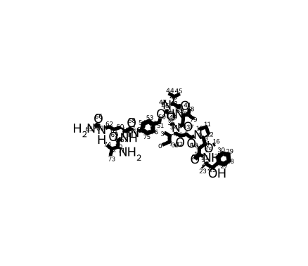 CCC(C)[C@@H](C(CC(=O)N1CCC[C@H]1[C@H](OC)[C@@H](C)C(=O)N[C@H](C)[C@@H](O)c1ccccc1)OC)N(C)C(=O)[C@@H](NC(=O)[C@H](C(C)C)N(C)C(=O)OCc1ccc(NC(=O)[C@H](CCCNC(N)=O)NC(=O)[C@@H](N)C(C)C)cc1)C(C)C